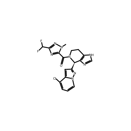 Cn1nc(C(F)F)nc1C(=O)N1CCc2[nH]cnc2[C@H]1c1cc2c(Cl)cccn2n1